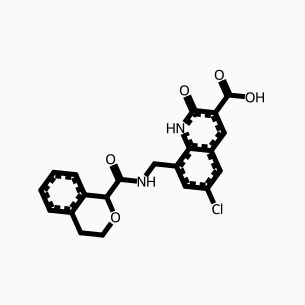 O=C(O)c1cc2cc(Cl)cc(CNC(=O)C3OCCc4ccccc43)c2[nH]c1=O